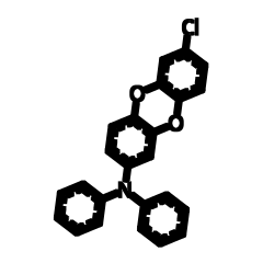 Clc1ccc2c(c1)Oc1ccc(N(c3ccccc3)c3ccccc3)cc1O2